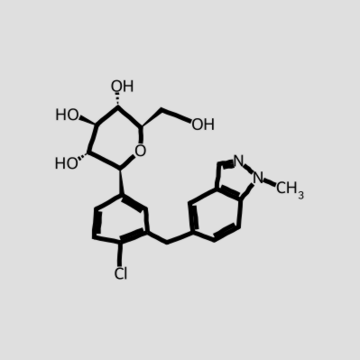 Cn1ncc2cc(Cc3cc([C@@H]4O[C@H](CO)[C@@H](O)[C@H](O)[C@H]4O)ccc3Cl)ccc21